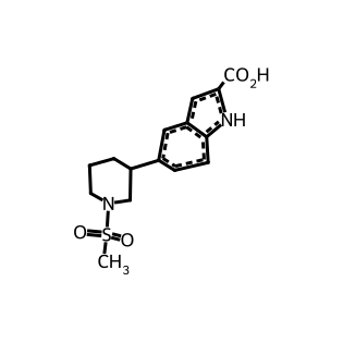 CS(=O)(=O)N1CCCC(c2ccc3[nH]c(C(=O)O)cc3c2)C1